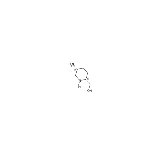 CC(C)N1C[C@H](N)CC[C@@H]1CO